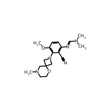 COc1ccc(/N=C/N(C)C)c(C#N)c1N1CC2(CN(C)CCO2)C1